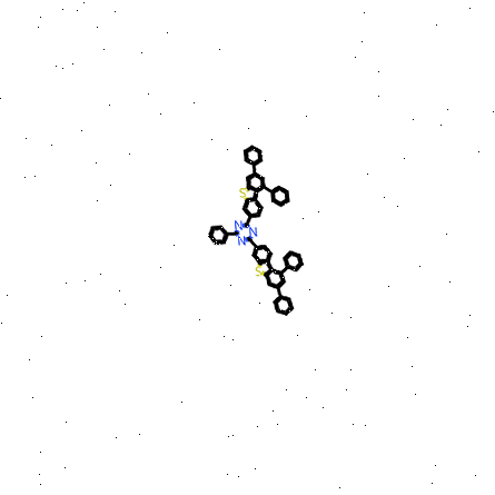 c1ccc(-c2cc(-c3ccccc3)c3c(c2)sc2cc(-c4nc(-c5ccccc5)nc(-c5ccc6c(c5)sc5cc(-c7ccccc7)cc(-c7ccccc7)c56)n4)ccc23)cc1